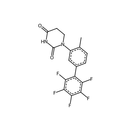 Cc1ccc(-c2c(F)c(F)c(F)c(F)c2F)cc1N1CCC(=O)NC1=O